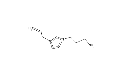 C=CC[n+]1ccn(CCCN)c1